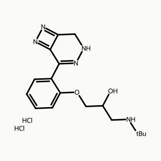 CC(C)(C)NCC(O)COc1ccccc1C1=NNCC2=NN=C21.Cl.Cl